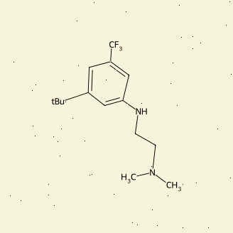 CN(C)CCNc1cc(C(C)(C)C)cc(C(F)(F)F)c1